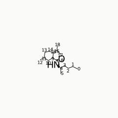 CCCCC(C)NC(=O)C1CC(C)CCC1C(C)C